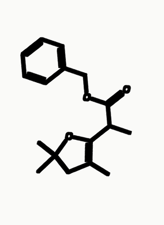 CC1=C(C(C)C(=O)OCc2ccccc2)OC(C)(C)C1